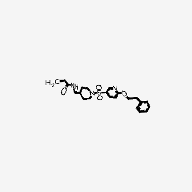 C=CC(=O)NCC1CCN(S(=O)(=O)c2ccc(OCCc3ccccc3)nc2)CC1